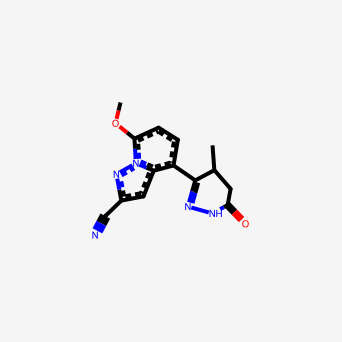 COc1ccc(C2=NNC(=O)CC2C)c2cc(C#N)nn12